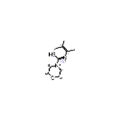 CC(C)=C(C)/N=C(\S)N1CCOCC1